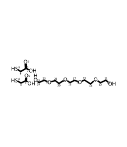 O=C(O)CS.O=C(O)CS.OCCOCCOCCOCCOCCO